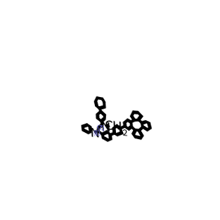 C=N/C(=C\C(=N/c1ccccc1)c1cccc(-c2ccc(-c3ccc4c(c3)-c3ccccc3-c3ccccc3-c3ccccc3-4)cc2)c1)c1ccc(C2=CCCCC=C2)cc1